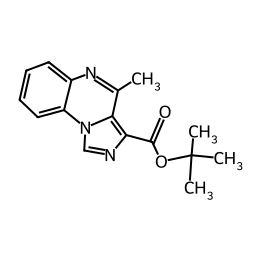 Cc1nc2ccccc2n2cnc(C(=O)OC(C)(C)C)c12